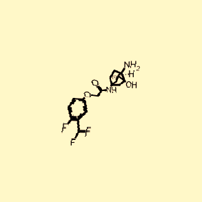 NC12CCC(NC(=O)COc3ccc(F)c(C(F)F)c3)(CC1)C[C@@H]2O